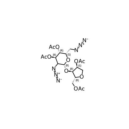 CC(=O)OC[C@H]1OC[C@H](OC(C)=O)[C@@H]1O[C@H]1O[C@@H](CN=[N+]=[N-])[C@@H](OC(C)=O)[C@H](OC(C)=O)C1N=[N+]=[N-]